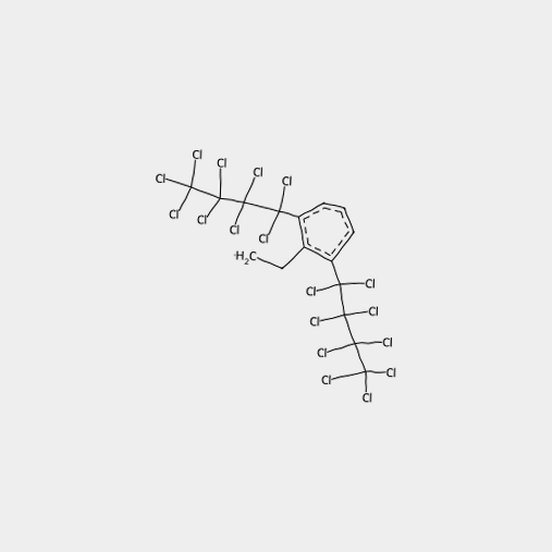 [CH2]Cc1c(C(Cl)(Cl)C(Cl)(Cl)C(Cl)(Cl)C(Cl)(Cl)Cl)cccc1C(Cl)(Cl)C(Cl)(Cl)C(Cl)(Cl)C(Cl)(Cl)Cl